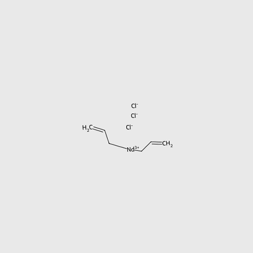 C=C[CH2][Nd+3][CH2]C=C.[Cl-].[Cl-].[Cl-]